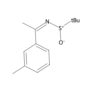 C/C(=N/[S+]([O-])C(C)(C)C)c1cccc(C)c1